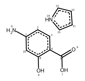 Nc1ccc(C(=O)O)c(O)c1.c1cc[nH]c1